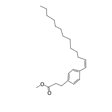 CCCCCCCCCCC/C=C\c1ccc(CCC(=O)OC)cc1